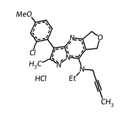 CC#CCN(CC)c1c2c(nc3c(-c4ccc(OC)cc4Cl)c(C)nn13)COC2.Cl